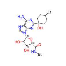 CCNC(=O)[C@H]1O[C@@H](n2cnc3c(N)nc(C4(O)CCC(CC)CC4)nc32)C(O)[C@H]1O